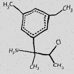 Cc1cc(C)cc(C(C)([SiH3])C(C)Cl)c1